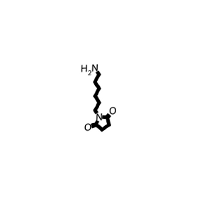 NCCCCCCN1C(=O)CCC1=O